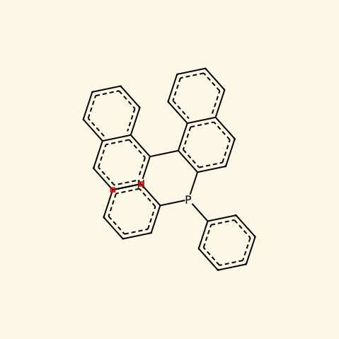 c1ccc(P(c2ccccc2)c2ccc3ccccc3c2-c2nccc3ccccc23)cc1